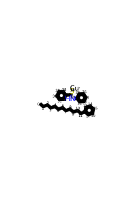 CCCCCCCCCCCCc1ccccc1.S=C(Nc1ccccc1)c1ccccc1.[Cu]